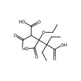 CCOC(C(=O)O)(C(C(C)=O)C(=O)O)C(CC)(CC)C(=O)O